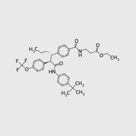 CCC[C@H](c1ccc(C(=O)NCCC(=O)OCC)cc1)[C@@H](C(=O)Nc1ccc(C(C)(C)C)cc1)c1ccc(OC(F)(F)F)cc1